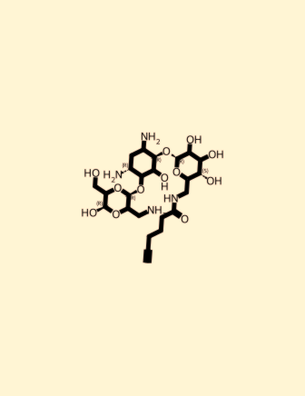 C#CCCCC(=O)NCC1O[C@H](O[C@@H]2C(N)C[C@@H](N)C(O[C@@H]3OC(CO)[C@H](O)OC3CN)C2O)C(O)C(O)[C@@H]1O